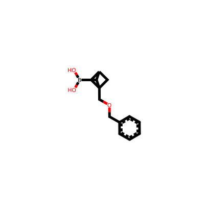 OB(O)C1C2CC1(COCc1ccccc1)C2